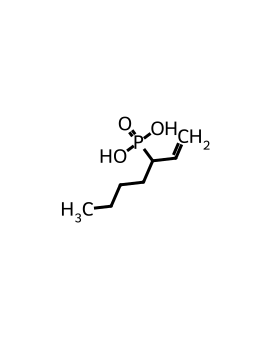 C=CC(CCCC)P(=O)(O)O